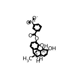 CN1CC[C@]23c4c5ccc(OC(=O)c6cccc([N+](=O)[O-])c6)c4O[C@H]2[C@@H](O)C=C[C@H]3[C@H]1C5